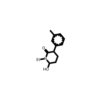 CCN1C(=O)C(c2cccc(C)c2)CCC1O